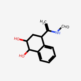 C=C(NC=O)C1CC(O)C(O)c2ccccc21